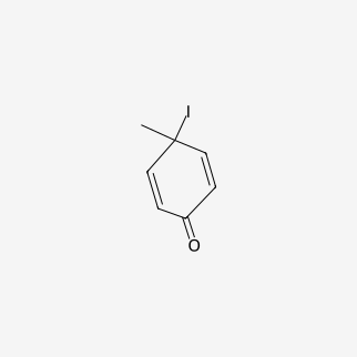 CC1(I)C=CC(=O)C=C1